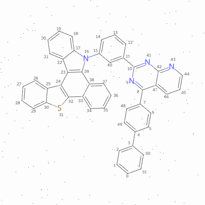 c1ccc(-c2ccc(-c3nc(-c4cccc(-n5c6ccccc6c6c7c8ccccc8sc7c7ccccc7c65)c4)nc4ncccc34)cc2)cc1